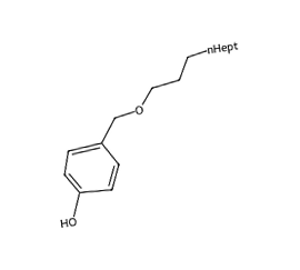 CCCCCCCCCCOCc1ccc(O)cc1